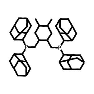 CC1CC(CP(C2C3CC4CC(C3)CC2C4)C2C3CC4CC(C3)CC2C4)C(CP(C2C3CC4CC(C3)CC2C4)C2C3CC4CC(C3)CC2C4)CC1C